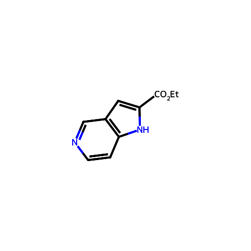 CCOC(=O)c1cc2cnccc2[nH]1